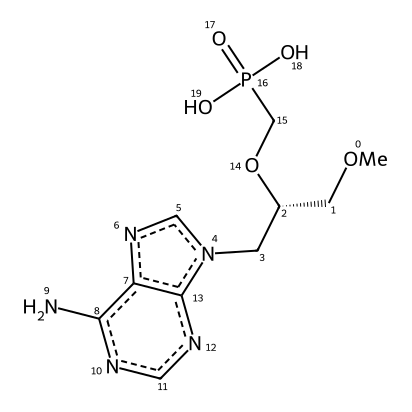 COC[C@H](Cn1cnc2c(N)ncnc21)OCP(=O)(O)O